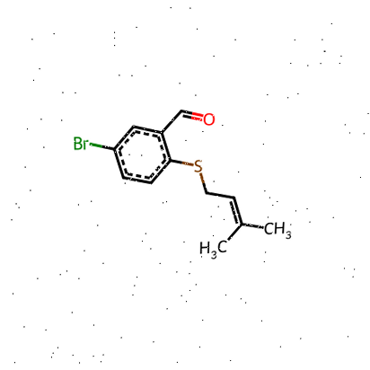 CC(C)=CCSc1ccc(Br)cc1C=O